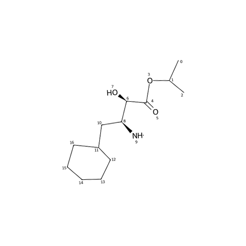 CC(C)OC(=O)[C@H](O)[C@@H]([NH])CC1CCCCC1